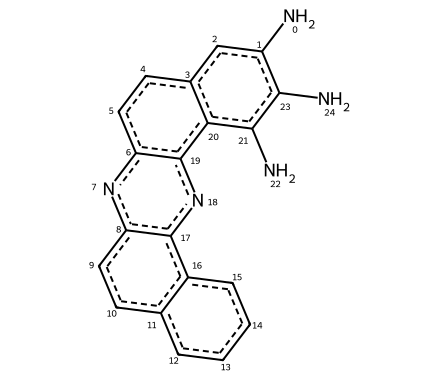 Nc1cc2ccc3nc4ccc5ccccc5c4nc3c2c(N)c1N